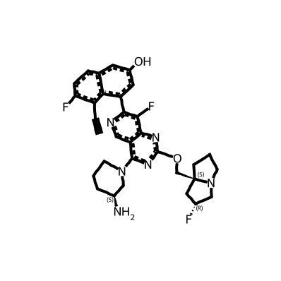 C#Cc1c(F)ccc2cc(O)cc(-c3ncc4c(N5CCC[C@H](N)C5)nc(OC[C@@]56CCCN5C[C@H](F)C6)nc4c3F)c12